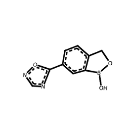 OB1OCc2ccc(-c3ncno3)cc21